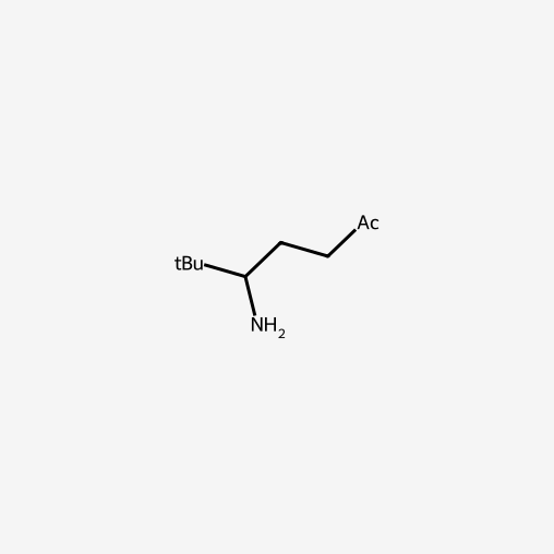 CC(=O)CCC(N)C(C)(C)C